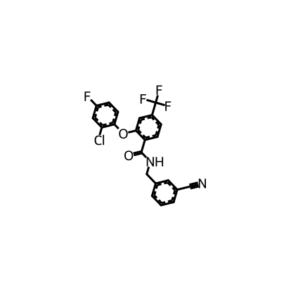 N#Cc1cccc(CNC(=O)c2ccc(C(F)(F)F)cc2Oc2ccc(F)cc2Cl)c1